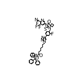 N#Cc1ncc(N2C(=O)C3(CCC3)N(Cc3ccc(-c4cn(CCCCCCC(=O)NOC(c5ccccc5)(c5ccccc5)c5ccccc5)nn4)cc3F)C2=S)cc1C(F)(F)F